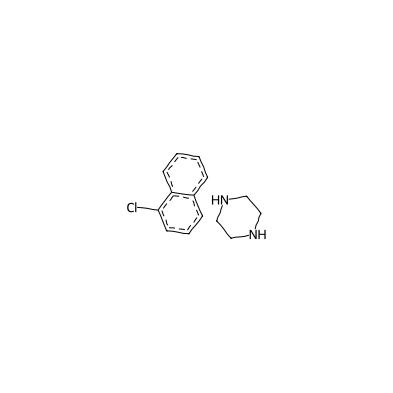 C1CNCCN1.Clc1cccc2ccccc12